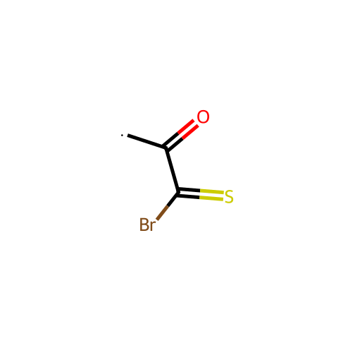 [CH2]C(=O)C(=S)Br